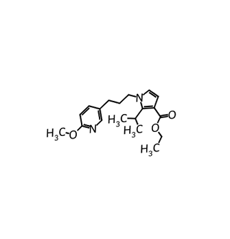 CCOC(=O)c1ccn(CCCc2ccc(OC)nc2)c1C(C)C